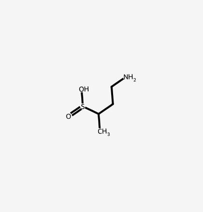 CC(CCN)S(=O)O